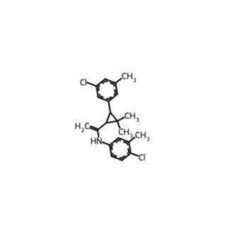 C=C(Nc1ccc(Cl)c(C)c1)C1C(c2cc(C)cc(Cl)c2)C1(C)C